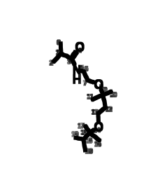 CC(C)C(=O)NCCOC(C)(C)CCOC(C)(C)C(C)C